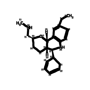 CCc1ccc2c(c1)[C@H]1O[C@@H](CNC)CC[C@H]1[C@H](C1C=CC=CC1)N2